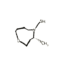 C[C@@H]1COCCN1S